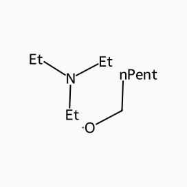 CCCCCC[O].CCN(CC)CC